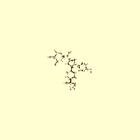 CC1CN(C(=O)c2nc(-c3ccc(Cl)cc3)c(-c3ccc(S(N)(=O)=O)cc3)s2)CC(C)C1F